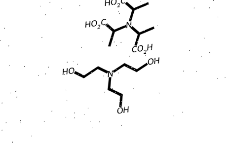 CC(C(=O)O)N(C(C)C(=O)O)C(C)C(=O)O.OCCN(CCO)CCO